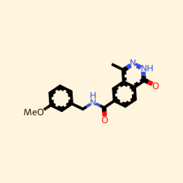 COc1cccc(CNC(=O)c2ccc3c(=O)[nH]nc(C)c3c2)c1